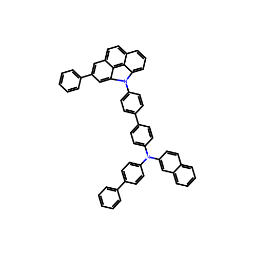 c1ccc(-c2ccc(N(c3ccc(-c4ccc(-n5c6cccc7ccc8cc(-c9ccccc9)cc5c8c76)cc4)cc3)c3ccc4ccccc4c3)cc2)cc1